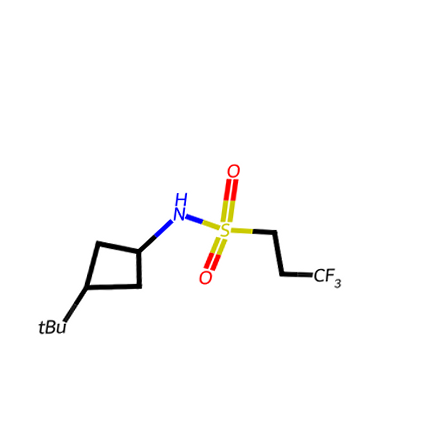 CC(C)(C)C1CC(NS(=O)(=O)CCC(F)(F)F)C1